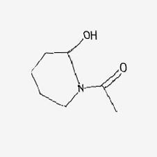 CC(=O)N1CCCCC1O